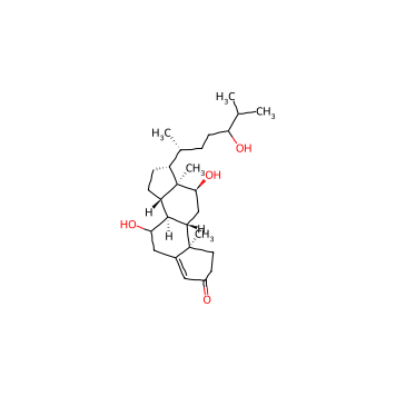 CC(C)C(O)CC[C@@H](C)[C@H]1CC[C@H]2[C@@H]3C(O)CC4=CC(=O)CC[C@]4(C)[C@H]3C[C@H](O)[C@]12C